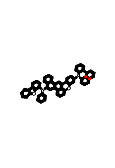 c1ccc(-c2ccccc2N(c2ccccc2)c2ccc3c(c2)Oc2cccc4c2c-3cc2c3ccccc3c(N(c3ccccc3)c3cccc5c3oc3ccccc35)cc42)cc1